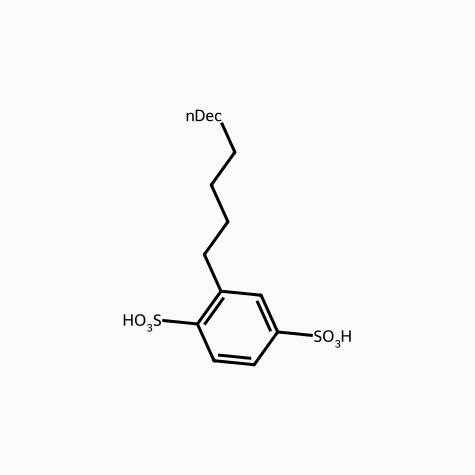 CCCCCCCCCCCCCCc1cc(S(=O)(=O)O)ccc1S(=O)(=O)O